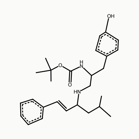 CC(C)CC(C=Cc1ccccc1)NCC(Cc1ccc(O)cc1)NC(=O)OC(C)(C)C